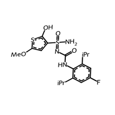 COc1cc(S(N)(=O)=NC(=O)Nc2c(C(C)C)cc(F)cc2C(C)C)c(O)s1